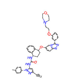 Cc1ccc(-n2nc(C(C)(C)C)cc2NC(=O)NC2CCC(Oc3ccc4nnc(-c5cccc(OCCN6CCOCC6)c5)n4c3)c3ccccc32)cc1